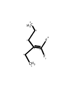 CCCC(CC)=C(F)F